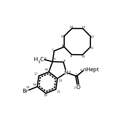 CCCCCCCC(=O)N1CC(C)(CC2CCCCCCC2)c2cc(Br)ccc21